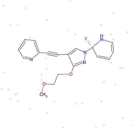 COCCOc1nn([C@]2(F)C=CC=CN2)cc1C#Cc1ccccn1